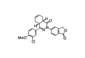 COc1ccc(C2=NN(c3ccc4c(c3)COC4=O)C(=O)[C@H]3CC=CC[C@@H]23)cc1Cl